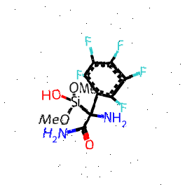 CO[Si](O)(OC)C(N)(C(N)=O)c1c(F)c(F)c(F)c(F)c1F